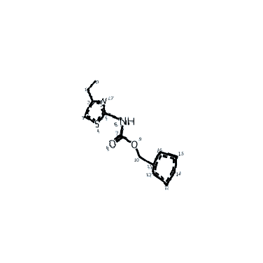 CCc1csc(NC(=O)OCc2ccccc2)n1